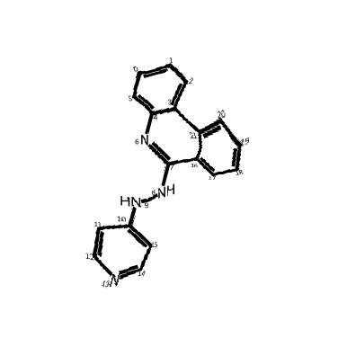 c1ccc2c(c1)nc(NNc1ccncc1)c1ccccc12